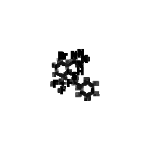 FC(F)(F)c1ccc(Br)c(-c2nnn[nH]2)c1SCc1ccccc1